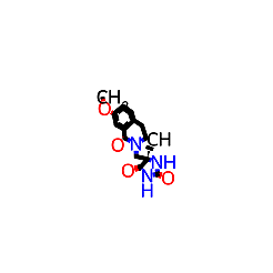 C#C[C@]1(CN2CCc3ccc(OC)cc3C2=O)NC(=O)NC1=O